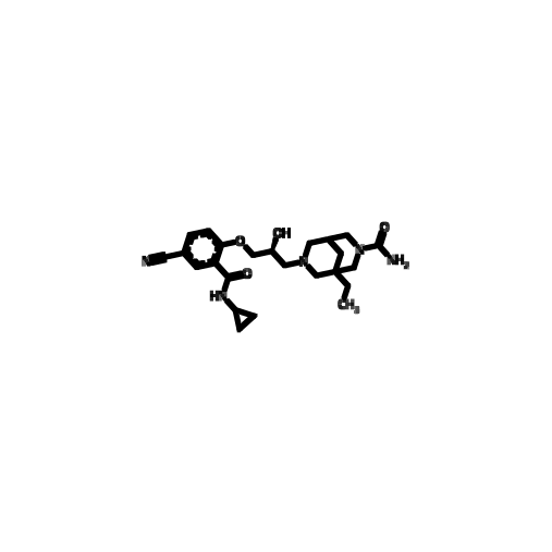 CCC12CC(CN(C[C@H](O)COc3ccc(C#N)cc3C(=O)NC3CC3)C1)CN(C(N)=O)C2